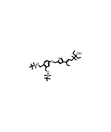 CC/C(=C\CC(C)(C)C(O)(CC)CC)c1csc(COc2ccc(CO[Si](C)(C)C(C)(C)C)c(CO[Si](C)(C)C(C)(C)C)c2)c1